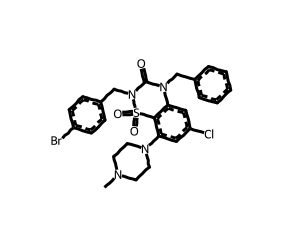 CN1CCN(c2cc(Cl)cc3c2S(=O)(=O)N(Cc2ccc(Br)cc2)C(=O)N3Cc2ccccc2)CC1